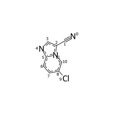 N#Cc1cnc2ccc(Cl)cn12